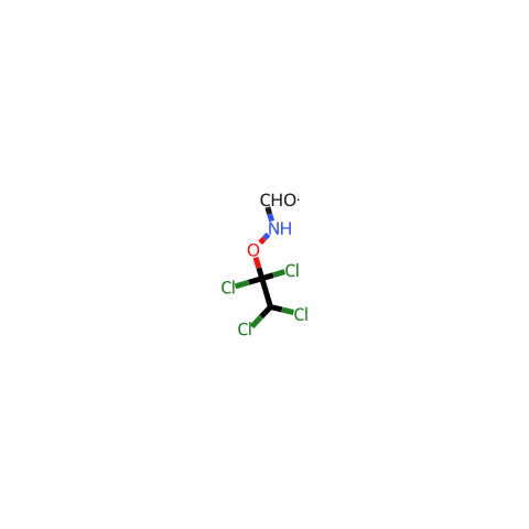 O=[C]NOC(Cl)(Cl)C(Cl)Cl